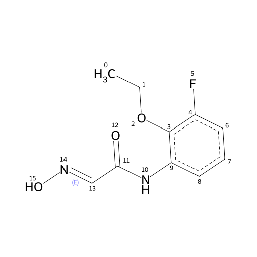 CCOc1c(F)cccc1NC(=O)/C=N/O